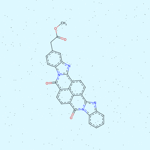 COC(=O)Cc1ccc2c(c1)nc1c3ccc4c5c(ccc(c(=O)n21)c35)c(=O)n1c2ccccc2nc41